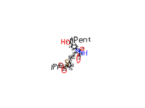 CCCCC[C@@H](O)c1ccc(N2C(=O)NC(=O)C2CCCc2ccc(C(=O)OC(C)C)s2)cc1